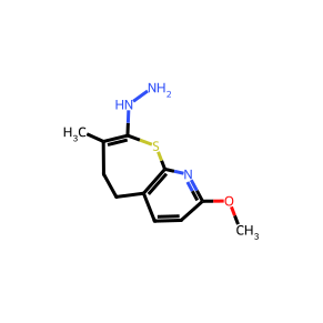 COc1ccc2c(n1)SC(NN)=C(C)CC2